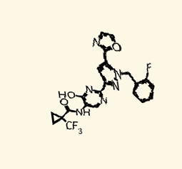 O=C(Nc1cnc(-c2cc(-c3ncco3)n(Cc3ccccc3F)n2)nc1O)C1(C(F)(F)F)CC1